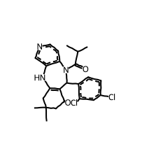 CC(C)C(=O)N1c2ccncc2NC2=C(C(=O)CC(C)(C)C2)C1c1ccc(Cl)cc1Cl